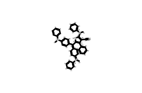 CN(c1ccccc1)c1ccc(C(=C2C=CC(=[N+](C)c3ccccc3)C=C2)c2sc(N(C)c3ccccc3)c(C#N)c2-c2ccccc2)cc1